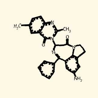 Cc1ccc2nc(C)n(C3N=C(c4ccccc4)c4cc(N)cc5c4N(CC5)C3=O)c(=O)c2c1